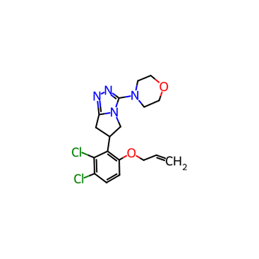 C=CCOc1ccc(Cl)c(Cl)c1C1Cc2nnc(N3CCOCC3)n2C1